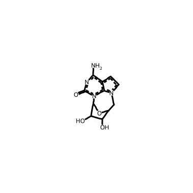 Nc1nc(=O)n2c3c1ccn3CC1OC2C(O)C1O